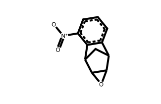 O=[N+]([O-])c1cccc2c1C1CC2C2OC12